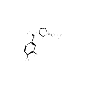 O=C(c1ccc(Cl)c(F)c1)[C@@H]1CCN(C(=O)O)C1